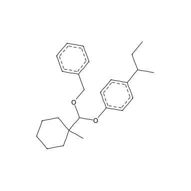 CCC(C)c1ccc(OC(OCc2ccccc2)C2(C)CCCCC2)cc1